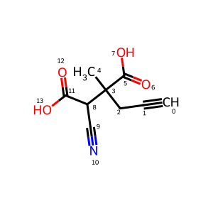 C#CCC(C)(C(=O)O)C(C#N)C(=O)O